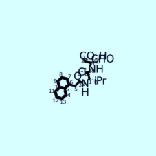 CC(C)[C@H](NC(=O)Cc1cccc2ccccc12)C(=O)N[C@H](C=O)CC(=O)O